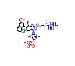 N=C(N)NCCCOc1nc(N2C[C@H]3CC[C@@H](C2)N3)c2cc(Cl)c(-c3cc(O)cc4ccccc34)c(F)c2n1.O=CO.O=CO